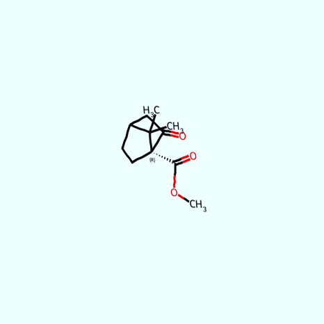 COC(=O)[C@@]12CCC(CC1=O)C2(C)C